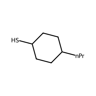 [CH2]CCC1CCC(S)CC1